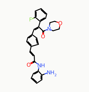 Nc1ccccc1NC(=O)C=Cc1ccc(C=C(C(=O)N2CCOCC2)c2ccccc2F)cc1